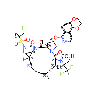 CC[C@@H]1C[C@H](C)CC/C=C\[C@@H]2C[C@@]2(C(=O)NS(=O)(=O)C2(CF)CC2)NC(=O)[C@@H]2C[C@@H](Oc3nccc4c5c(ccc34)OCCO5)CN2C(=O)[C@H]1N(C(=O)O)C(C)(C)C(C)(F)F